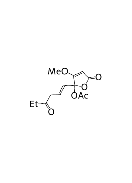 CCC(=O)CC=CC1(OC(C)=O)OC(=O)C=C1OC